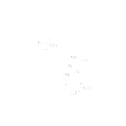 Cc1ccc(Nc2ncc(C)c(Nc3ccc(CNS(=O)(=O)C(C)C)cc3)n2)cc1S(N)(=O)=O